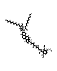 CCCCCCCCCCC(C)OP(=O)(OC1=CCC2C(=C1)CCC1C2CCC2(C)C(OCCC(=O)NCCCNC(=O)c3c(OC)ccc(N)c3O)CCC12)OC(C)CCCCCCCCCC